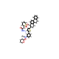 CC(=O)N(OC1CCCCO1)c1cccc(-c2ccc(C3=Cc4ccc5c(c4CC3)CCc3ccccc3-5)s2)c1.NC(=O)CC1C=CC=CS1(=O)=O